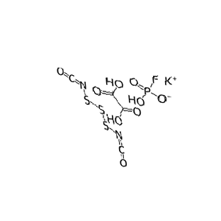 O=C(O)C(=O)O.O=C=NSSSN=C=O.O=P([O-])(O)F.[K+]